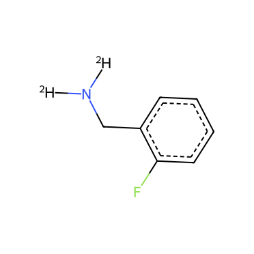 [2H]N([2H])Cc1ccccc1F